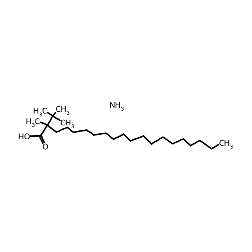 CCCCCCCCCCCCCCCCCCC(C)(C(=O)O)C(C)(C)C.N